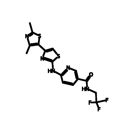 Cc1nc(C)c(-c2csc(Nc3ccc(C(=O)NCC(F)(F)F)cn3)n2)s1